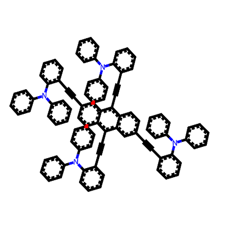 C(#Cc1ccccc1N(c1ccccc1)c1ccccc1)c1ccc2c(C#Cc3ccccc3N(c3ccccc3)c3ccccc3)c3cc(C#Cc4ccccc4N(c4ccccc4)c4ccccc4)ccc3c(C#Cc3ccccc3N(c3ccccc3)c3ccccc3)c2c1